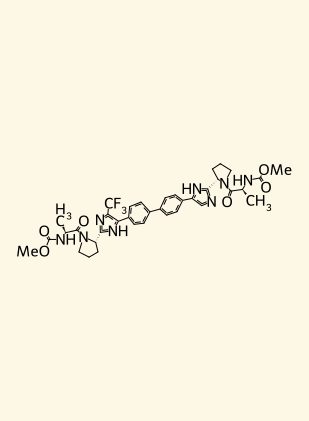 COC(=O)N[C@@H](C)C(=O)N1CCC[C@H]1c1ncc(-c2ccc(-c3ccc(-c4[nH]c([C@@H]5CCCN5C(=O)[C@H](C)NC(=O)OC)nc4C(F)(F)F)cc3)cc2)[nH]1